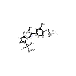 C=N/C(=C\n1c(C)nnc1C(F)(F)OC)c1cnc(O[C@@H](C)C(F)(F)F)c(F)c1